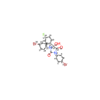 O=C1N(c2ccc(Br)cc2)C(=O)C(O)(c2ccc(F)cc2)N1c1ccc(Br)cc1